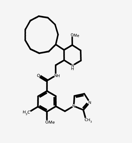 COc1c(C)cc(C(=O)NCC2NCCC(OC)C2C2CCCCCCCCCC2)cc1Cn1ccnc1C